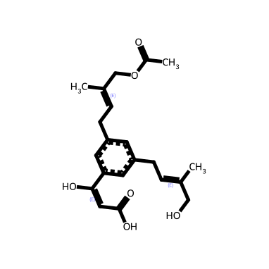 CC(=O)OC/C(C)=C/Cc1cc(C/C=C(\C)CO)cc(/C(O)=C\C(=O)O)c1